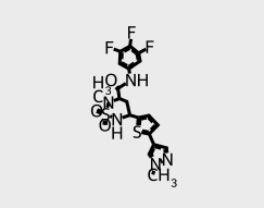 CN1C(C(=O)Nc2cc(F)c(F)c(F)c2)CC(c2ccc(-c3cnn(C)c3)s2)NS1(=O)=O